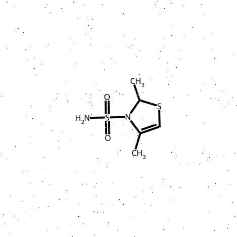 CC1=CSC(C)N1S(N)(=O)=O